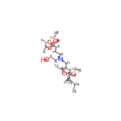 CCO[Si](CCCN(CCO)CCC[Si](OCC)(OCC)C1=C=C1CC)(OCC)OCC